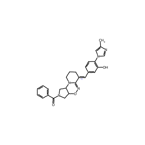 Cc1cn(-c2ccc(/C=C3\CCCN4C3=NOC3CN(C(=O)c5ccccc5)CC34)cc2O)cn1